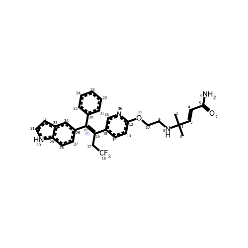 CC(C)(C=CC(N)=O)NCCOc1ccc(/C(CC(F)(F)F)=C(\c2ccccc2)c2ccc3[nH]ccc3c2)cn1